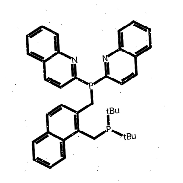 CC(C)(C)P(Cc1c(CP(c2ccc3ccccc3n2)c2ccc3ccccc3n2)ccc2ccccc12)C(C)(C)C